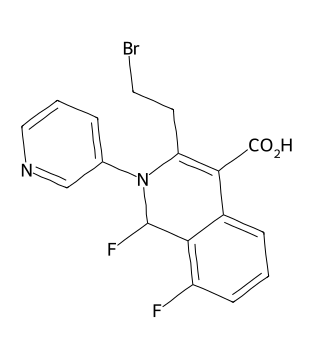 O=C(O)C1=C(CCBr)N(c2cccnc2)C(F)c2c(F)cccc21